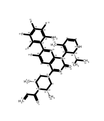 C=CC(=O)N1[C@H](C)CN(c2nc(=O)n(C3=C(C)C=CN[C@@H]3C(C)C)c3nc(-c4c(N)c(F)c(F)c(F)c4F)c(F)cc23)C[C@@H]1C